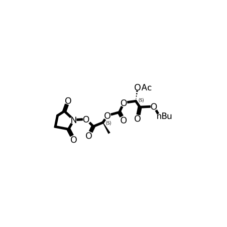 CCCCOC(=O)[C@@H](OC(C)=O)OC(=O)O[C@@H](C)C(=O)ON1C(=O)CCC1=O